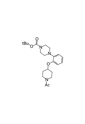 CC(=O)N1CCC(Oc2ccccc2N2CCN(C(=O)OC(C)(C)C)CC2)CC1